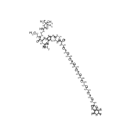 CCCN(CCCNC(=O)CC(C)(C)C)C(=O)C1=Cc2sc(CN3CCN(C(=O)CCOCCOCCOCCOCCOCCOCCOCCOCCOCCOCCC(=O)Oc4c(F)c(F)cc(F)c4F)CC3)cc2N=C(N)C1